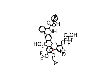 O=C(O)C(F)(F)F.O=C(O)c1ccc(NC(C(=O)O[C@H]2CN3CCC2CC3)c2ccccc2F)cc1[C@@H](Cc1c(Cl)c[n+]([O-])cc1Cl)c1ccc(OC(F)F)c(OCC2CC2)c1